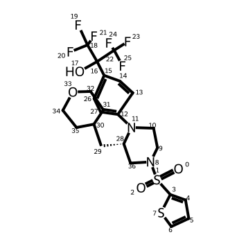 O=S(=O)(c1cccs1)N1CCN(c2ccc(C(O)(C(F)(F)F)C(F)(F)F)cc2)[C@@H](CC2CCOCC2)C1